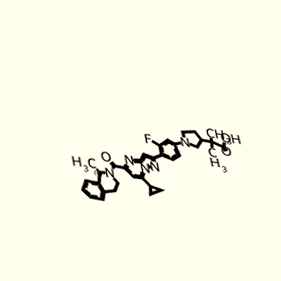 C[C@@H]1c2ccccc2CCN1C(=O)c1cc(C2CC2)n2nc(-c3ccc(N4CCC(C(C)(C)C(=O)O)C4)cc3F)cc2n1